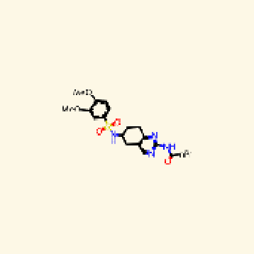 CCCC(=O)Nc1ncc2c(n1)CCC(NS(=O)(=O)c1ccc(OC)c(OC)c1)C2